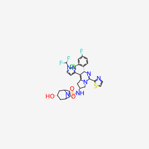 C[C@H]1CC2C[C@@H](O)CC1N2S(=O)(=O)N[C@H]1CC2=C(c3ccn(C(F)F)n3)[C@H](c3ccc(F)cc3Cl)N=C(c3nccs3)N2C1